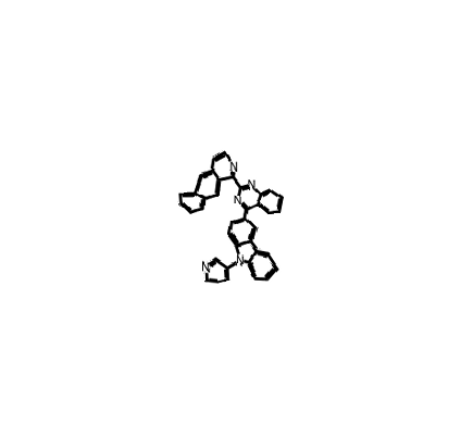 c1cncc(-n2c3ccccc3c3cc(-c4nc(-c5nccc6cc7ccccc7cc56)nc5ccccc45)ccc32)c1